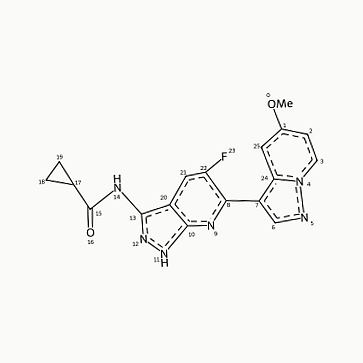 COc1ccn2ncc(-c3nc4[nH]nc(NC(=O)C5CC5)c4cc3F)c2c1